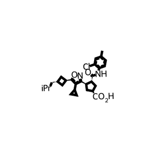 Cc1ccc(NC(=O)[C@@H]2C[C@@H](C(=O)O)C[C@H]2c2noc([C@H]3C[C@H](CC(C)C)C3)c2C2CC2)c(Cl)c1